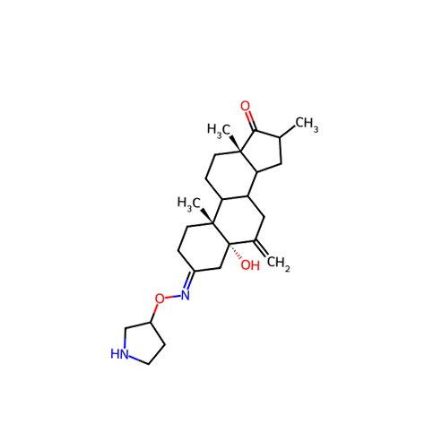 C=C1CC2C3CC(C)C(=O)[C@@]3(C)CCC2[C@@]2(C)CCC(=NOC3CCNC3)C[C@]12O